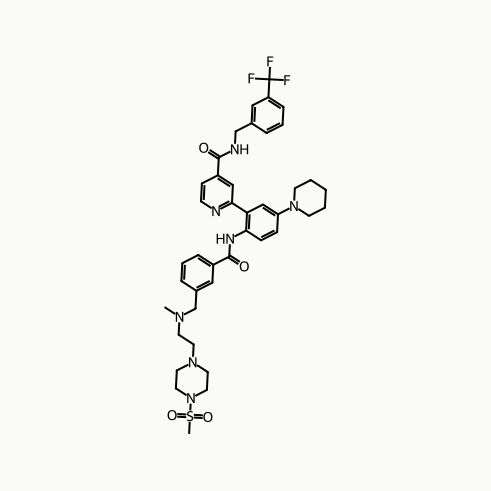 CN(CCN1CCN(S(C)(=O)=O)CC1)Cc1cccc(C(=O)Nc2ccc(N3CCCCC3)cc2-c2cc(C(=O)NCc3cccc(C(F)(F)F)c3)ccn2)c1